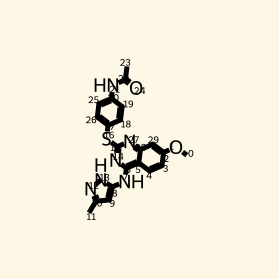 COc1ccc2c(Nc3cc(C)n[nH]3)nc(Sc3ccc(NC(C)=O)cc3)nc2c1